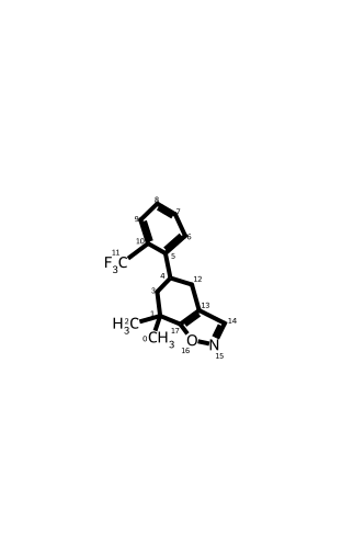 CC1(C)CC(c2ccccc2C(F)(F)F)Cc2cnoc21